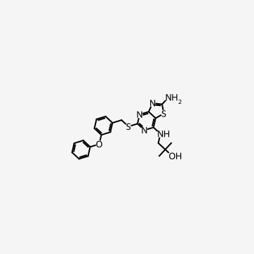 CC(C)(O)CNc1nc(SCc2cccc(Oc3ccccc3)c2)nc2nc(N)sc12